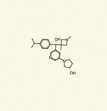 CC(C)c1ccc([C@](O)(c2cncc(N3CC[C@H](O)C3)c2)C2(C)CN(C)C2)cc1